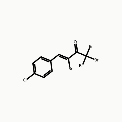 O=C(C(Br)=Cc1ccc(Cl)cc1)C(Br)(Br)Br